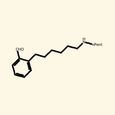 CCCCCNCCCCCCc1ccccc1C=O